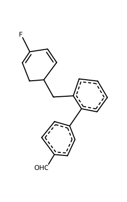 O=Cc1ccc(-c2ccccc2CC2C=CC(F)=CC2)cc1